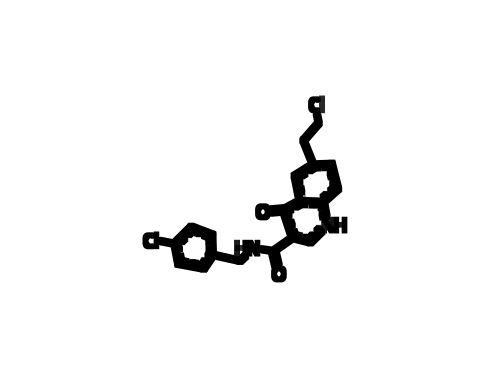 O=C(NCc1ccc(Cl)cc1)c1c[nH]c2ccc(CCCl)cc2c1=O